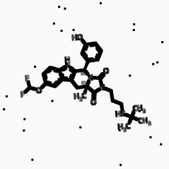 CC(C)(C)NCCCN1C(=O)N2[C@H](c3cccc(O)c3)c3[nH]c4ccc(OC(F)F)cc4c3C[C@@]2(C)C1=O